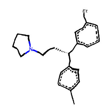 CCc1cccc([C@@H](CCN2CCCC2)c2ccc(C)cc2)c1